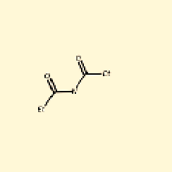 CCC(=O)[N]C(=O)CC